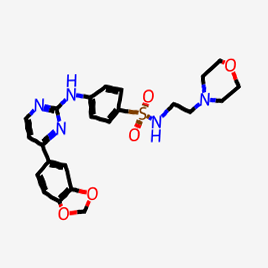 O=S(=O)(NCCN1CCOCC1)c1ccc(Nc2nccc(-c3ccc4c(c3)OCO4)n2)cc1